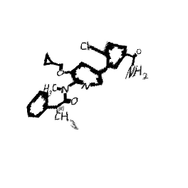 C[C@@H](C(=O)N(C)c1ncc(-c2cc(C(N)=O)ccc2Cl)cc1OCC1CC1)c1ccccc1